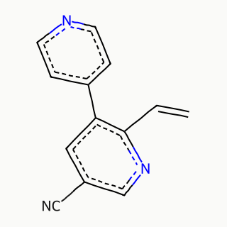 C=Cc1ncc(C#N)cc1-c1ccncc1